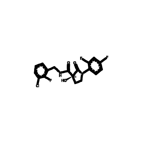 O=C(NCc1cccc(Cl)c1F)[C@]1(O)CCN(c2ccc(F)cc2F)C1=O